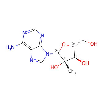 Nc1ncnc2c1ncn2[C@@H]1O[C@H](CO)[C@@H](O)[C@@]1(O)C(F)(F)F